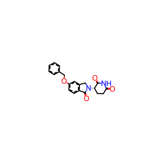 O=C1CC[C@H](N2Cc3cc(OCc4ccccc4)ccc3C2=O)C(=O)N1